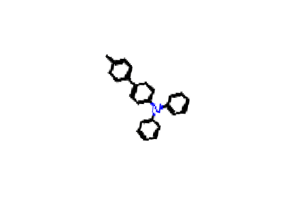 CC1=CC=C(C2=CC=C(N(c3ccccc3)c3ccccc3)CC2)CC1